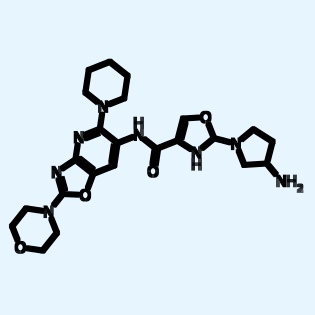 NC1CCN(C2NC(C(=O)Nc3cc4oc(N5CCOCC5)nc4nc3N3CCCCC3)=CO2)C1